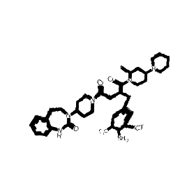 CC1CC(N2CCCCC2)CCN1C(=O)C(CC(=O)N1CCC(N2CCc3ccccc3NC2=O)CC1)Cc1cc(Cl)c(N)c(C(F)(F)F)c1